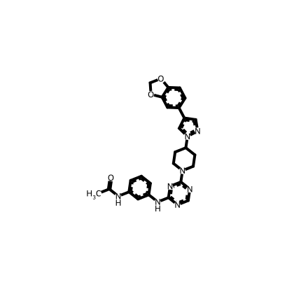 CC(=O)Nc1cccc(Nc2ncnc(N3CCC(n4cc(-c5ccc6c(c5)OCO6)cn4)CC3)n2)c1